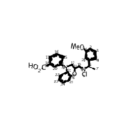 COc1cccc([C@@H](C)N(Cl)CC2CN(c3cccc(C(=O)O)c3)c3ccccc3O2)c1